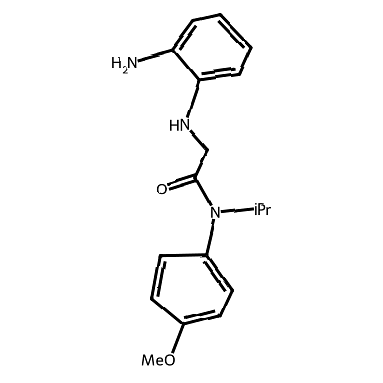 COc1ccc(N(C(=O)CNc2ccccc2N)C(C)C)cc1